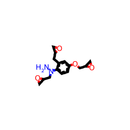 NN(CC1CO1)c1ccc(OCC2CO2)cc1CC1CO1